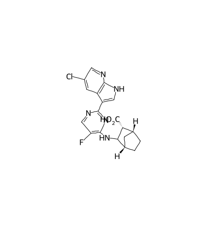 O=C(O)[C@H]1C(Nc2nc(-c3c[nH]c4ncc(Cl)cc34)ncc2F)[C@H]2CC[C@@H]1C2